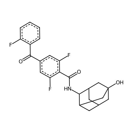 O=C(c1cc(F)c(C(=O)NC2C3CC4CC2CC(O)(C4)C3)c(F)c1)c1ccccc1F